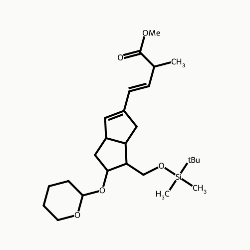 COC(=O)C(C)C=CC1=CC2CC(OC3CCCCO3)C(CO[Si](C)(C)C(C)(C)C)C2C1